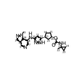 Cn1ncc2cncc(Nc3cc([C@H]4CC[C@@H](OC(=O)NC5(C)CC5)C4)[nH]n3)c21